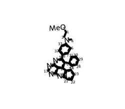 COCCN(C)c1ccc(-c2nc3ncnc(N)c3c(-c3ccccc3)c2-c2ccccc2)cc1